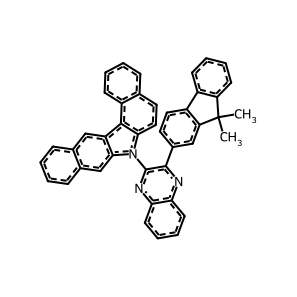 CC1(C)c2ccccc2-c2ccc(-c3nc4ccccc4nc3-n3c4cc5ccccc5cc4c4c5ccccc5ccc43)cc21